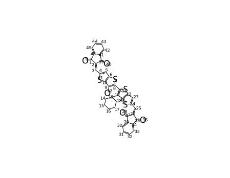 O=C1C(=Cc2cc3sc4c(c3s2)OC2(CCCCC2)c2c-4sc3cc(C=C4C(=O)c5ccccc5C4=O)sc23)C(=O)c2ccccc21